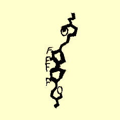 C=CC1CCC(c2ccc(-c3ccc(CCC4CCC(CCC)CO4)c(F)c3F)c(F)c2F)OC1